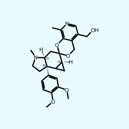 COc1ccc([C@]23CCN(C)[C@H]2CC2(OCc4c(CO)cnc(C)c4O2)[C@H]2CC23)cc1OC